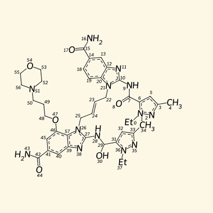 CCn1nc(C)cc1C(=O)Nc1nc2cc(C(N)=O)ccc2n1C/C=C/Cn1c(NC(O)c2cc(C)nn2CC)nc2cc(C(N)=O)cc(OCCCN3CCOCC3)c21